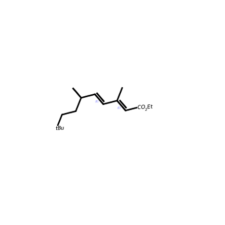 CCOC(=O)/C=C(C)/C=C/C(C)CCC(C)(C)C